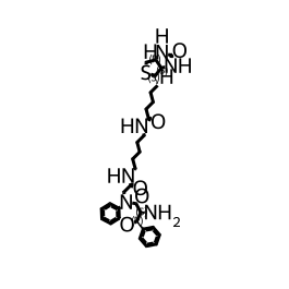 N[C@@H]1C(=O)N(CC(=O)NCCCCCNC(=O)CCCC[C@@H]2SC[C@@H]3NC(=O)N[C@@H]32)c2ccccc2O[C@@H]1c1ccccc1